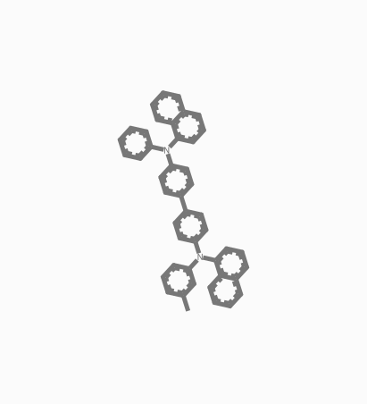 Cc1cccc(N(c2ccc(-c3ccc(N(c4ccccc4)c4cccc5ccccc45)cc3)cc2)c2cccc3ccccc23)c1